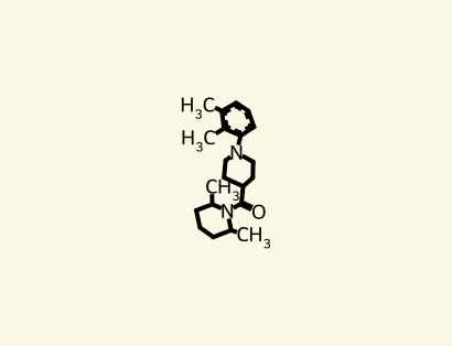 Cc1cccc(N2CCC(C(=O)N3C(C)CCCC3C)CC2)c1C